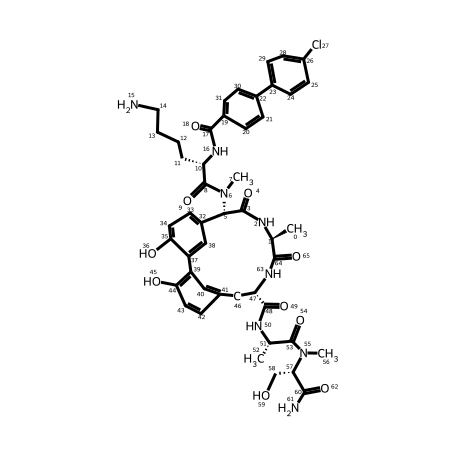 C[C@@H]1NC(=O)[C@@H](N(C)C(=O)[C@H](CCCCN)NC(=O)c2ccc(-c3ccc(Cl)cc3)cc2)c2ccc(O)c(c2)-c2cc(ccc2O)C[C@@H](C(=O)N[C@@H](C)C(=O)N(C)[C@@H](CO)C(N)=O)NC1=O